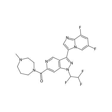 CN1CCCN(C(=O)c2cc3c(cn2)c(-c2cnc4c(F)cc(F)cn24)nn3C(F)C(F)F)CC1